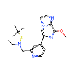 CCN(Cc1cc(-c2cn3ccnc3c(OC)n2)ccn1)SC(C)(C)C